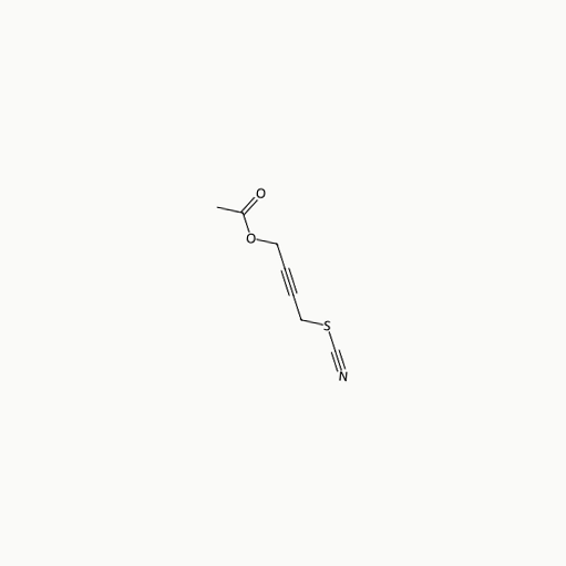 CC(=O)OCC#CCSC#N